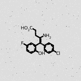 NC(CCC(=O)O)=C(c1ccc(Cl)cc1)c1cc(F)ccc1O